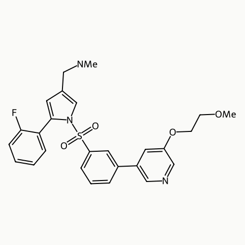 CNCc1cc(-c2ccccc2F)n(S(=O)(=O)c2cccc(-c3cncc(OCCOC)c3)c2)c1